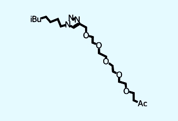 CCC(C)CCCCn1cc(COCCOCCOCCOCCOCCC(C)=O)nn1